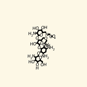 COO/C=N/CC1OC(OC2C(COCCO)OC(OC3C(O)C(N)CC(N)C3OC3OC(CO)C(O)C(O)C3N)C2O)C(N)C(O)C1O